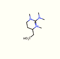 CN(C)C1=[N+](C)C(CC(=O)O)CCN1C